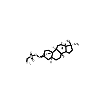 CCS(=O)(=O)O/N=C1\CC[C@@]2(C)[C@@H](CC[C@@H]3[C@@H]2CC[C@@]2(C)[C@H]3CC[C@]2(C)O)C1